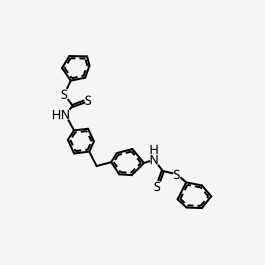 S=C(Nc1ccc(Cc2ccc(NC(=S)Sc3ccccc3)cc2)cc1)Sc1ccccc1